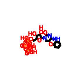 O=c1nc2c(cn1C1OC(COP(=O)(O)OP(=O)(O)OP(=O)(O)O)C(O)C1O)Oc1ccccc1N2